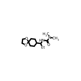 CCC(NC(=O)N(C)C)C1CCC2(CC1)OCCO2